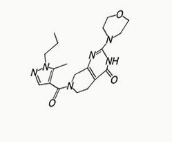 CCCn1ncc(C(=O)N2CCc3c(nc(N4CCOCC4)[nH]c3=O)C2)c1C